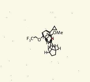 COc1cc(N2C[C@H]3CC[C@@H](C2)[C@@H]3Nc2nc3c(OCC(F)(F)F)ccc(C4CC4)n3n2)cnn1